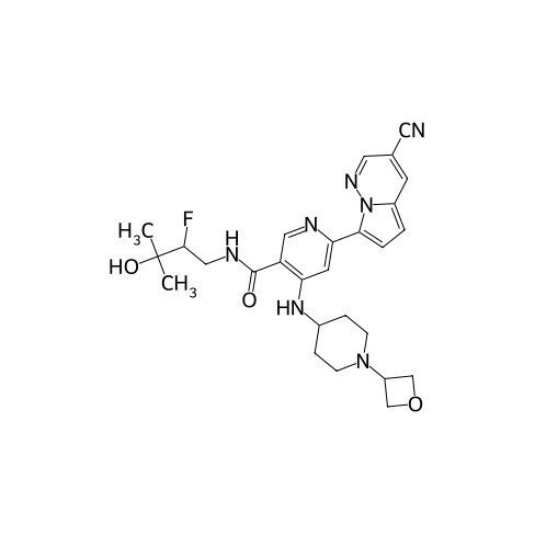 CC(C)(O)C(F)CNC(=O)c1cnc(-c2ccc3cc(C#N)cnn23)cc1NC1CCN(C2COC2)CC1